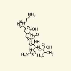 CC(C)C(ON=C(C(=O)NC1C(=O)N2C(C(=O)O)=C(CSc3nnnn3CCCN)CS[C@@H]12)c1nsc(N)n1)C(=O)O